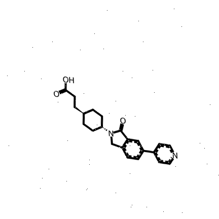 O=C(O)CC[C@H]1CC[C@H](N2Cc3ccc(-c4ccncc4)cc3C2=O)CC1